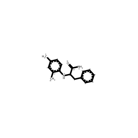 Cc1ccc(NC(Cc2ccccc2)C(N)=O)c(C)c1